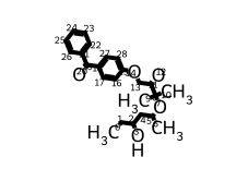 CCC(O)CC(C)OC(C)(C)C(=O)COc1ccc(C(=O)c2ccccc2)cc1